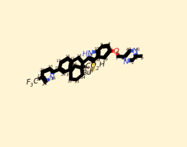 Cc1cnc(COc2ccc3[nH]c(C(Cc4ccc(-c5ccc(C(F)(F)F)cn5)cc4)C4(C(=O)O)CCCCC4)c(SC(C)(C)C)c3c2)cn1